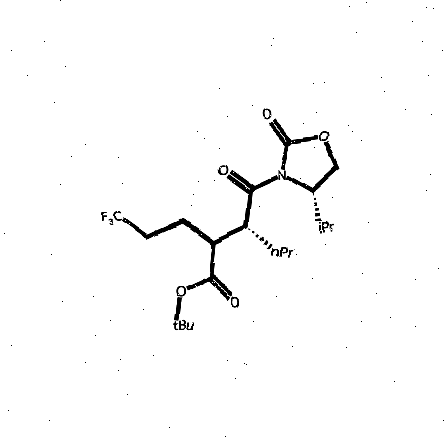 CCC[C@@H](C(=O)N1C(=O)OC[C@@H]1C(C)C)C(CCC(F)(F)F)C(=O)OC(C)(C)C